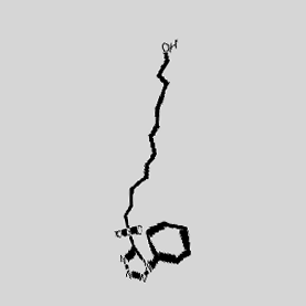 O=S(=O)(CCCCCCCCCCCCO)c1nnnn1-c1ccccc1